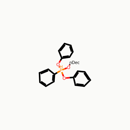 CCCCCCCCCCO[PH](Oc1ccccc1)(Oc1ccccc1)c1ccccc1